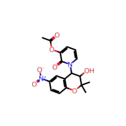 CC(=O)Oc1cccn(C2c3cc([N+](=O)[O-])ccc3OC(C)(C)C2O)c1=O